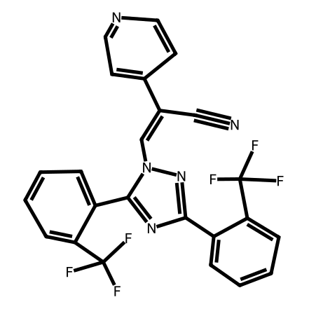 N#CC(=Cn1nc(-c2ccccc2C(F)(F)F)nc1-c1ccccc1C(F)(F)F)c1ccncc1